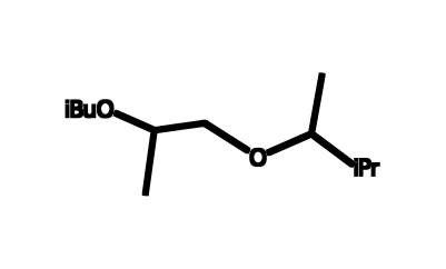 CC(C)COC(C)COC(C)C(C)C